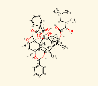 CC(=O)O[C@@]12CO[C@@H]1C[C@@H]1O[C@H](c3ccccc3)O[C@H]3[C@H](C)C4=C(C)[C@@H](OC(=O)[C@H](O)[C@@H](C)CC(C)C)C[C@@](O)([C@@H](OC(=O)c5ccccc5)[C@H]2[C@@]13C)C4(C)C